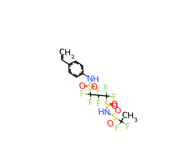 C=Cc1ccc(NS(=O)(=O)C(F)(F)C(F)(F)C(F)(F)S(=O)(=O)NS(=O)(=O)C(C)(F)F)cc1